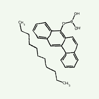 CCCCCCCCCCC.OB(O)Oc1c2ccccc2cc2c1ccc1ccccc12